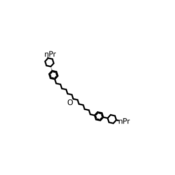 CCCC1CCC(c2ccc(CCCCCCC(=O)CCCCCCc3ccc([C@H]4CC[C@H](CCC)CC4)cc3)cc2)CC1